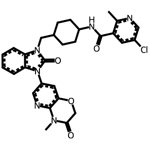 Cc1ncc(Cl)cc1C(=O)NC1CCC(Cn2c(=O)n(-c3cnc4c(c3)OCC(=O)N4C)c3ccccc32)CC1